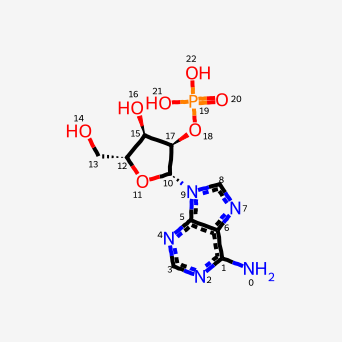 Nc1ncnc2c1ncn2[C@@H]1O[C@H](CO)[C@@H](O)[C@H]1OP(=O)(O)O